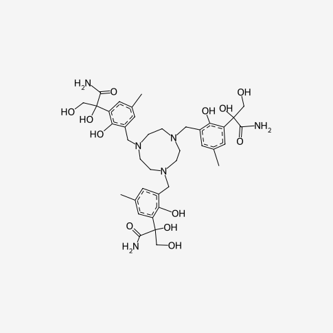 Cc1cc(CN2CCN(Cc3cc(C)cc(C(O)(CO)C(N)=O)c3O)CCN(Cc3cc(C)cc(C(O)(CO)C(N)=O)c3O)CC2)c(O)c(C(O)(CO)C(N)=O)c1